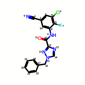 N#Cc1cc(Cl)c(F)c(NC(=O)c2ncn(Cc3ccccc3)n2)c1